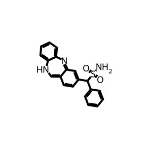 NS(=O)(=O)C(c1ccccc1)c1ccc2c(c1)=Nc1ccccc1NC=2